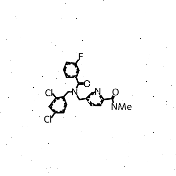 CNC(=O)c1ccc(CN(Cc2ccc(Cl)cc2Cl)C(=O)c2cccc(F)c2)cn1